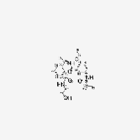 CCOc1ccc(NC(=O)C(C)C)cc1C(=O)NC(C)c1cccc(C(=O)NCCO)c1